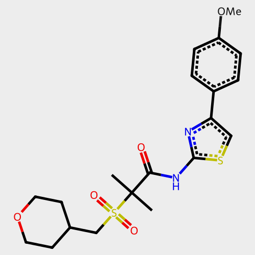 COc1ccc(-c2csc(NC(=O)C(C)(C)S(=O)(=O)CC3CCOCC3)n2)cc1